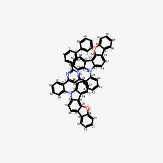 c1ccc(-c2cccc(-c3nc(-c4ccccc4-n4c5ccccc5c5c6oc7ccccc7c6ccc54)cc(-c4ccccc4-n4c5ccccc5c5c6oc7ccccc7c6ccc54)n3)c2)cc1